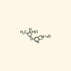 C[C@H]1C[C@@H](Oc2cnc3c(c2)CN(CC=O)C3)CN1.Cl